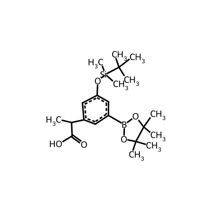 CC(C(=O)O)c1cc(O[Si](C)(C)C(C)(C)C)cc(B2OC(C)(C)C(C)(C)O2)c1